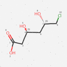 O=C(O)C[C@@H](O)C[C@H](O)CCl